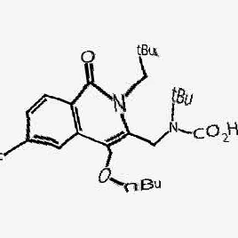 CCCCOc1c(CN(C(=O)O)C(C)(C)C)n(CC(C)(C)C)c(=O)c2ccc(F)cc12